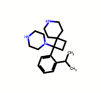 CC(C)c1ccccc1C1(N2CCNCC2)CCC12CCNCC2